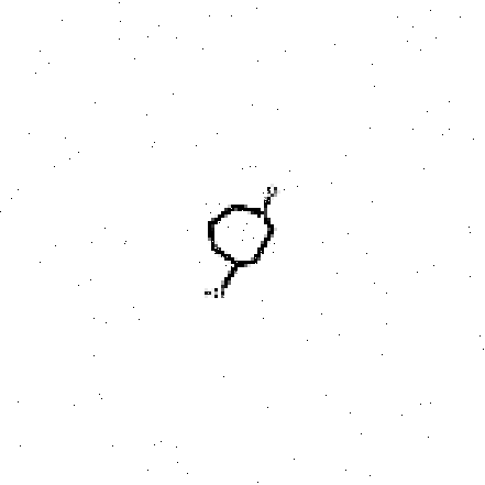 [O]N1CCCC(O)CC1